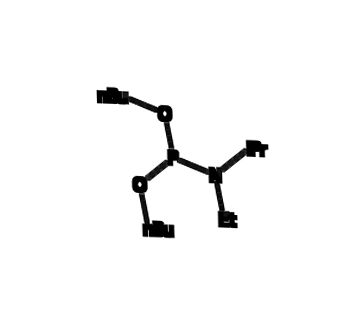 CCCCOP(OCCCC)N(CC)C(C)C